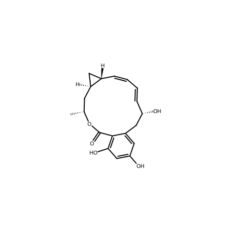 C[C@@H]1C[C@H]2C[C@@H]2/C=C\C=C\[C@H](O)Cc2cc(O)cc(O)c2C(=O)O1